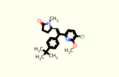 COc1nc(C(=C[C@H]2CCC(=O)N2C)c2ccc(C(C)(C)C)cc2)ccc1Cl